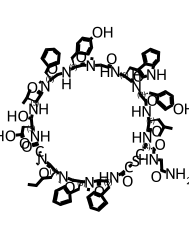 CCCC[C@H]1C(=O)N(C)CC(=O)N[C@@H](CC(=O)O)C(O)N[C@@H](C(C)C)C(=O)N(C)[C@@H](Cc2ccccc2)C(=O)N[C@@H](Cc2ccc(O)cc2)C(=O)N(C)CC(=O)N[C@@H](Cc2c[nH]c3ccccc23)C(=O)N[C@H](Cc2ccc(O)cc2)C(=O)N[C@@H](CC(C)C)C(=O)N[C@H](C(=O)NCC(N)=O)CSCC(=O)N[C@@H](Cc2ccccc2)C(=O)N(C)[C@@H](Cc2ccccc2)C(=O)N1C